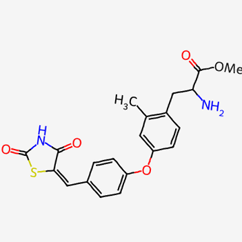 COC(=O)C(N)Cc1ccc(Oc2ccc(C=C3SC(=O)NC3=O)cc2)cc1C